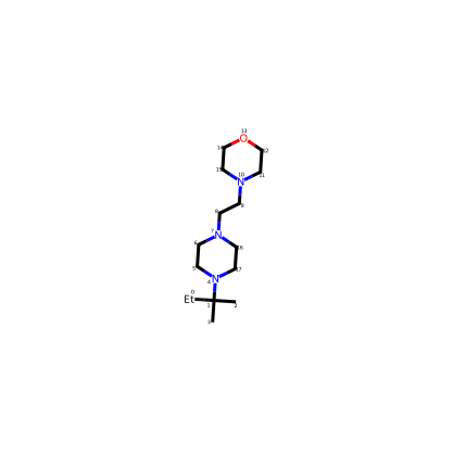 CCC(C)(C)N1CCN(CCN2CCOCC2)CC1